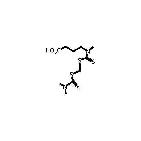 CN(C)C(=S)SCSC(=S)N(C)CCCC(=O)O